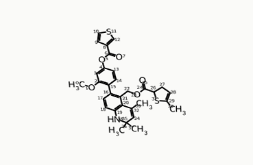 COc1cc(OC(=O)c2ccsc2)ccc1-c1ccc2c(c1COC(=O)C1CC=C(C)S1)C(C)=CC(C)(C)N2